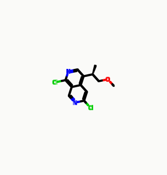 COC[C@H](C)c1cnc(Cl)c2cnc(Cl)cc12